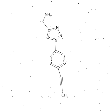 CC#Cc1ccc(-n2cc(CN)nn2)cc1